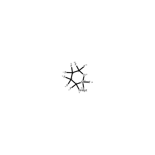 CCCCCCCC1(F)C(F)(F)C(F)(F)C(F)(F)O[Si]1(F)F